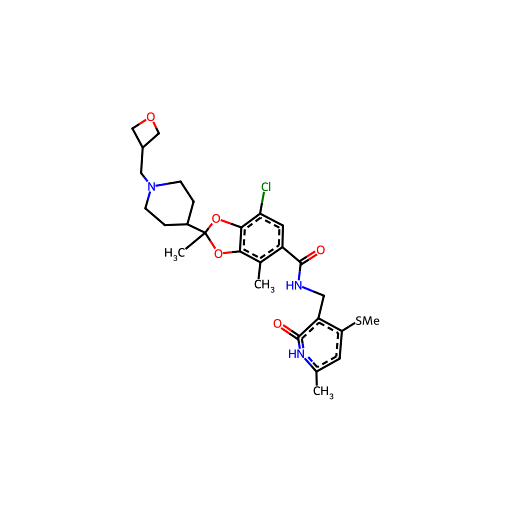 CSc1cc(C)[nH]c(=O)c1CNC(=O)c1cc(Cl)c2c(c1C)OC(C)(C1CCN(CC3COC3)CC1)O2